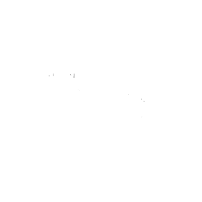 CCCCNC(=O)CSC1CC(=O)NC1=O